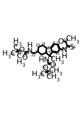 CC1Oc2ccc(C(C)(NC(=O)OC(C)(C)C)C3CCCC(CNC(=O)OC(C)(C)C)C3)cc2NC1=S